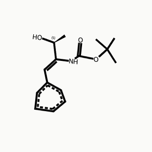 C[C@H](O)C(=Cc1ccccc1)NC(=O)OC(C)(C)C